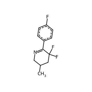 CC1CN=C(c2ccc(F)cc2)C(F)(F)C1